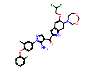 Cc1cc(-n2ncc(C(=O)c3cc4c([nH]3)CC(N3CCOCOC3)C(OCC(F)F)=C4)c2N)ccc1Oc1ccccc1F